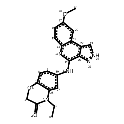 CCN1C(=O)COc2ccc(Nc3nc4ccc(OC)cc4c4c[nH]nc34)cc21